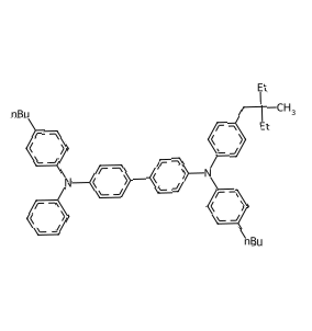 CCCCc1ccc(N(c2ccccc2)c2ccc(-c3ccc(N(c4ccc(CCCC)cc4)c4ccc(CC(C)(CC)CC)cc4)cc3)cc2)cc1